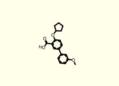 COc1cccc(-c2ccc(OC3CCCC3)c(C(=O)O)c2)c1